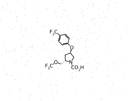 O=C(O)N1C[C@H](Oc2ccc(C(F)(F)F)cc2)C[C@H]1COC(F)(F)F